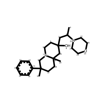 CC(CC1(O)CCN2CC(C)(c3ccccc3)CCC2(C)C1)N1CCOCC1